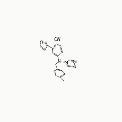 Cc1ccc(CN(c2ccc(C#N)c(-c3ccoc3)c2)n2cnnc2)cc1